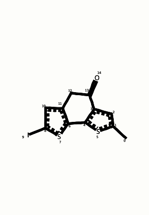 Cc1cc2c(s1)-c1sc(I)cc1CC2=O